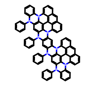 c1ccc(-n2c3ccccc3n3c4cccc5cc6cccc7c6c(c54)c4c3c2cc2c4n7c3cc4c(cc3n2-c2ccccc2)n(-c2ccccc2)c2cc3c5c6c7c8c(cccc8n5c5ccccc5n3-c3ccccc3)cc3cccc(c37)n4c62)cc1